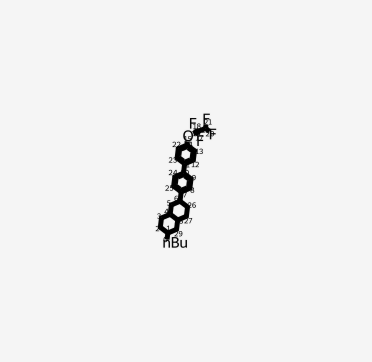 CCCCC1CCC2CC(c3ccc(-c4ccc(OC(F)(F)C(F)F)cc4)cc3)CCC2C1